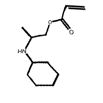 C=CC(=O)OCC(C)NC1CCCCC1